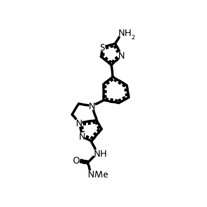 CNC(=O)Nc1cc2n(n1)CCN2c1cccc(-c2csc(N)n2)c1